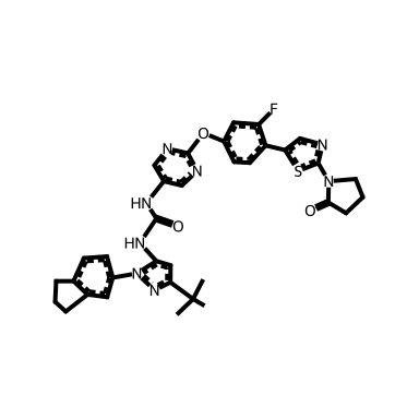 CC(C)(C)c1cc(NC(=O)Nc2cnc(Oc3ccc(-c4cnc(N5CCCC5=O)s4)c(F)c3)nc2)n(-c2ccc3c(c2)CCC3)n1